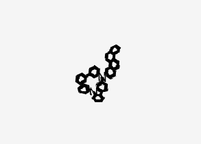 C1=CCC2C(=C1)c1ccc(N(c3cccc(-c4ccccc4)c3)c3ccc4ccc5c6ccccc6ccc5c4c3)cc1N2c1ccccc1